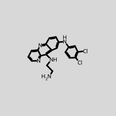 NCCNc1c2cc(Nc3ccc(Cl)c(Cl)c3)ccc2nc2cccnc12